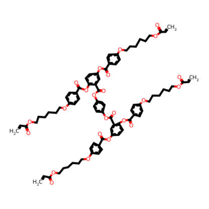 C=CC(=O)OCCCCCCOc1ccc(C(=O)Oc2ccc(OC(=O)c3ccc(OCCCCCCOC(=O)C=C)cc3)c(C(=O)Oc3ccc(OC(=O)c4cc(OC(=O)c5ccc(OCCCCCCOC(=O)C=C)cc5)ccc4OC(=O)c4ccc(OCCCCCCOC(=O)C=C)cc4)cc3)c2)cc1